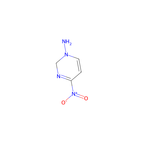 NN1C=CC([N+](=O)[O-])=NC1